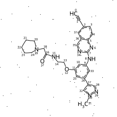 C#Cc1ccc2nc(Nc3cc(OCCNC(=O)CN4CCCCC4)cc(-c4cnn(C)c4)c3)ncc2c1